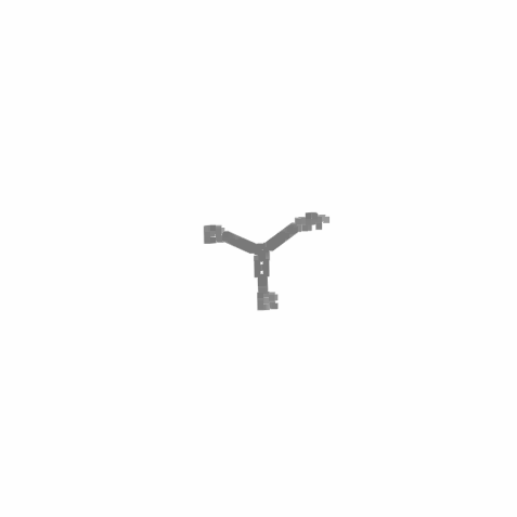 CC[CH][SiH](CC)CC